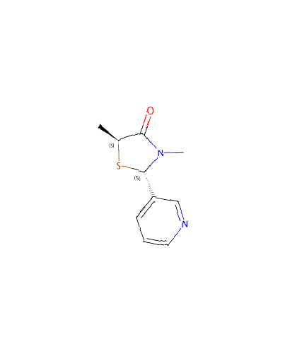 C[C@@H]1S[C@@H](c2cccnc2)N(C)C1=O